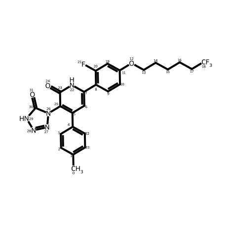 Cc1ccc(-c2cc(-c3ccc(OCCCCCC(F)(F)F)cc3F)[nH]c(=O)c2-n2nn[nH]c2=O)cc1